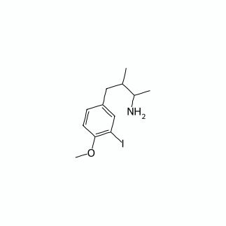 COc1ccc(CC(C)C(C)N)cc1I